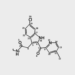 CNC(=O)Cc1c(C(=O)c2cc(C)ccn2)[nH]c2cc(Cl)ccc12